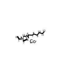 C=CN1C=CN(CCCCCCC)C1.[Co]